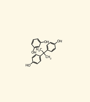 CC(C)(c1ccc(O)cc1)c1ccc(O)cc1.Oc1cccc(O)c1